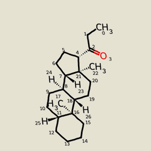 CCC(=O)[C@H]1CC[C@H]2[C@@H]3CC[C@H]4CCCC[C@]4(C)[C@H]3CC[C@]12C